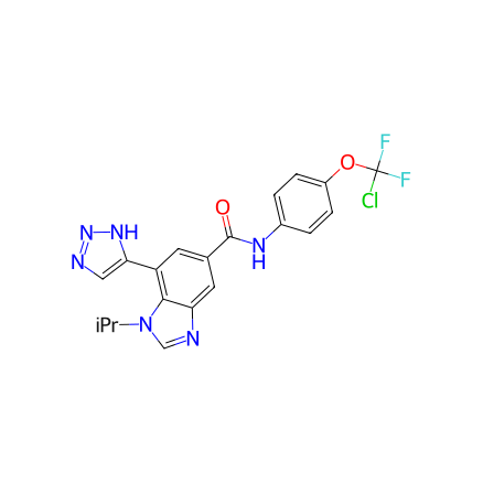 CC(C)n1cnc2cc(C(=O)Nc3ccc(OC(F)(F)Cl)cc3)cc(-c3cnn[nH]3)c21